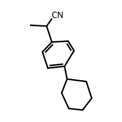 CC(C#N)c1ccc(C2CCCCC2)cc1